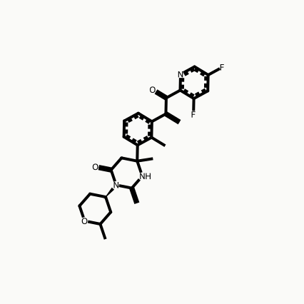 C=C(C(=O)c1ncc(F)cc1F)c1cccc(C2(C)CC(=O)N([C@@H]3CCOC(C)C3)C(=C)N2)c1C